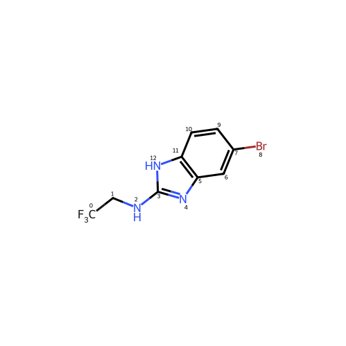 FC(F)(F)CNc1nc2cc(Br)ccc2[nH]1